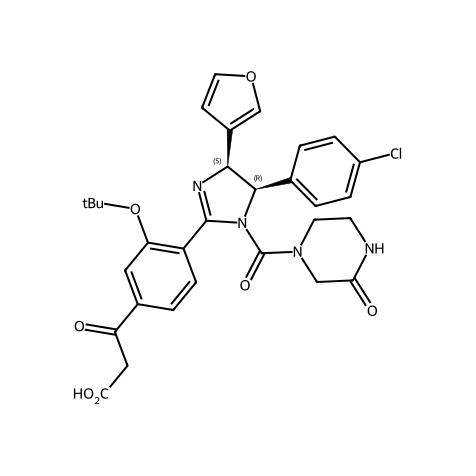 CC(C)(C)Oc1cc(C(=O)CC(=O)O)ccc1C1=N[C@@H](c2ccoc2)[C@@H](c2ccc(Cl)cc2)N1C(=O)N1CCNC(=O)C1